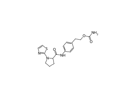 NC(=O)OCCc1ccc(NC(=O)C2CCCN2c2nccs2)cc1